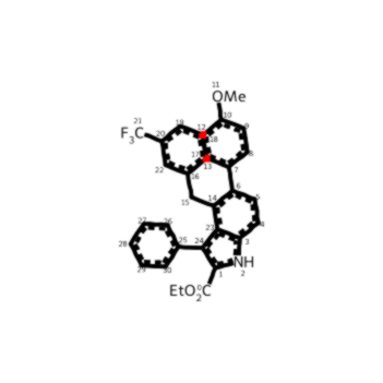 CCOC(=O)c1[nH]c2ccc(-c3ccc(OC)cc3)c(Cc3cccc(C(F)(F)F)c3)c2c1-c1ccccc1